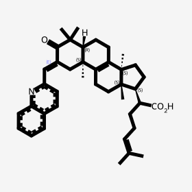 CC(C)=CCCC(C(=O)O)[C@@H]1CC[C@]2(C)C3=C(CC[C@@]12C)[C@@]1(C)C/C(=C\c2ccc4ccccc4n2)C(=O)C(C)(C)[C@@H]1CC3